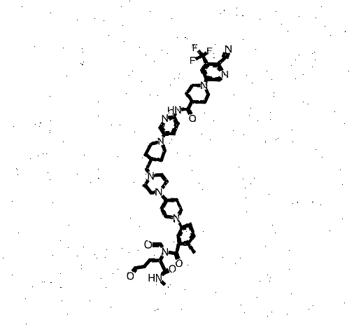 CNC(=O)C(CCC=O)N(C=O)C(=O)c1cc(N2CCC(N3CCN(CC4CCN(c5ccc(NC(=O)C6CCN(c7cnc(C#N)c(C(F)(F)F)c7)CC6)nc5)CC4)CC3)CC2)ccc1C